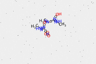 CCCCNc1ncc2c(-c3ccc(CN4CCN(C)C(O[C@H]5CC[C@H](n6cc(-c7ccc(S(=O)(=O)N8CCOCC8)cc7)c7cnc(NCCCC)nc76)CC5)C4)cc3)cn([C@H]3CC[C@H](O)CC3)c2n1